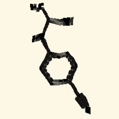 CC(=N)Nc1ccc(C#N)cc1